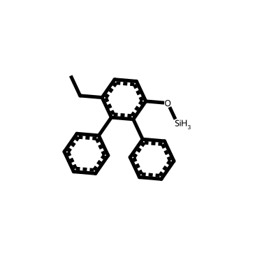 CCc1ccc(O[SiH3])c(-c2ccccc2)c1-c1ccccc1